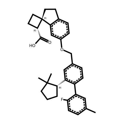 Cc1ccc(F)c(-c2ccc(COc3ccc4c(c3)[C@@]3(CC4)CC[C@H]3C(=O)O)cc2[C@@H]2CCCC2(C)C)c1